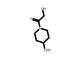 O=CC1CCN(C(=O)CO)CC1